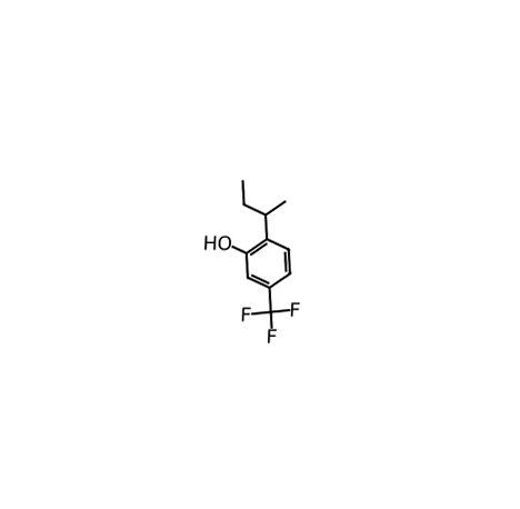 CCC(C)c1ccc(C(F)(F)F)cc1O